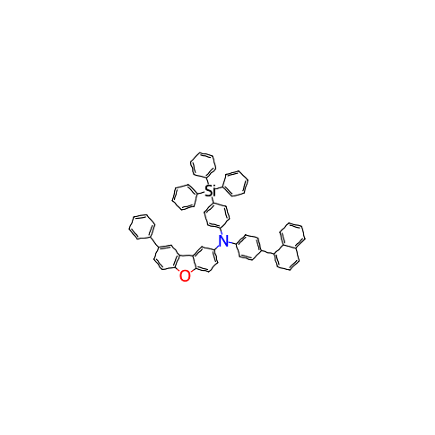 c1ccc(-c2ccc3oc4ccc(N(c5ccc(-c6cccc7ccccc67)cc5)c5ccc([Si](c6ccccc6)(c6ccccc6)c6ccccc6)cc5)cc4c3c2)cc1